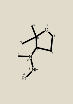 CCNN(C)C1CCOC1(C)C